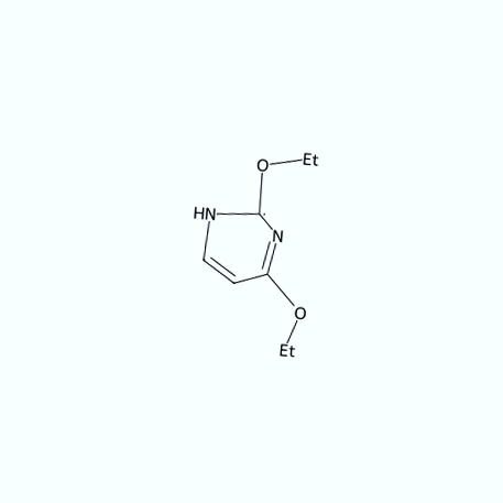 CCO[C]1N=C(OCC)C=CN1